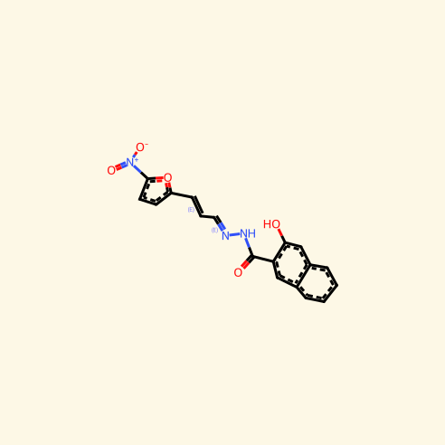 O=C(N/N=C/C=C/c1ccc([N+](=O)[O-])o1)c1cc2ccccc2cc1O